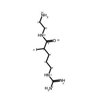 N=C(N)NCCCC(I)C(=O)NCCN